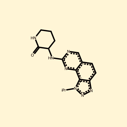 CC(C)n1nnc2ccc3cnc(NC4CCCNC4=O)nc3c21